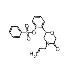 C=CCN1C[C@@H](c2ccccc2OS(=O)(=O)c2ccccc2)OCC1=O